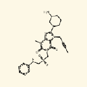 CC#CCn1c(N2CCCC(N)C2)nc2c1c(=O)n(CS(=O)(=O)CNc1cccnc1)c(=O)n2C